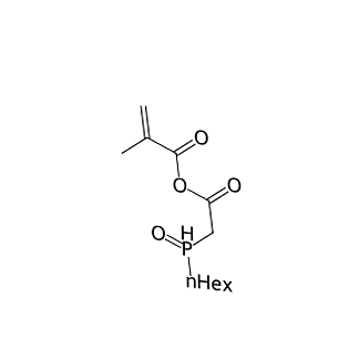 C=C(C)C(=O)OC(=O)C[PH](=O)CCCCCC